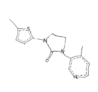 Cc1ccc(N2CCN(c3cnccc3C)C2=O)s1